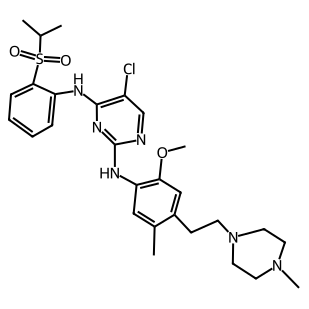 COc1cc(CCN2CCN(C)CC2)c(C)cc1Nc1ncc(Cl)c(Nc2ccccc2S(=O)(=O)C(C)C)n1